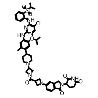 Cc1cc(Nc2ncc(Cl)c(Nc3ccccc3S(=O)(=O)C(C)C)n2)c(OC(C)C)cc1C1CCN(C2CN(C(=O)C3CN(c4ccc5c(c4)CN(C4CCC(=O)NC4=O)C5=O)C3)C2)CC1